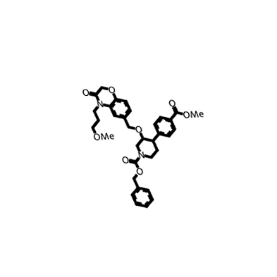 COCCCN1C(=O)COc2ccc(COC3CN(C(=O)OCc4ccccc4)CCC3c3ccc(C(=O)OC)cc3)cc21